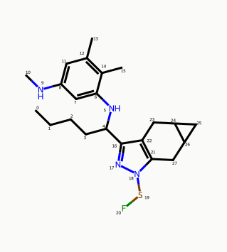 CCCCC(Nc1cc(NC)cc(C)c1C)c1nn(SF)c2c1CC1CC1C2